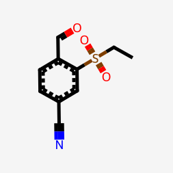 CCS(=O)(=O)c1cc(C#N)ccc1C=O